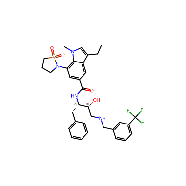 CCc1cn(C)c2c(N3CCCS3(=O)=O)cc(C(=O)N[C@@H](Cc3ccccc3)[C@H](O)CNCc3cccc(C(F)(F)F)c3)cc12